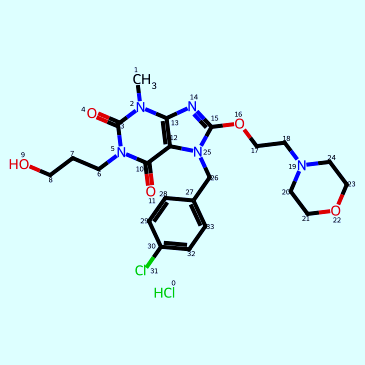 Cl.Cn1c(=O)n(CCCO)c(=O)c2c1nc(OCCN1CCOCC1)n2Cc1ccc(Cl)cc1